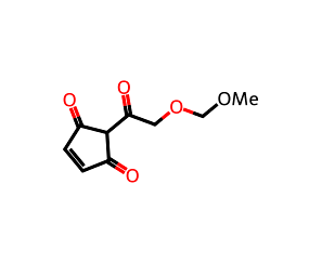 COCOCC(=O)C1C(=O)C=CC1=O